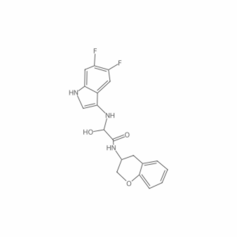 O=C(NC1COc2ccccc2C1)C(O)Nc1c[nH]c2cc(F)c(F)cc12